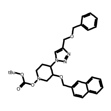 CC(C)(C)OC(=O)ON1CCC(n2cc(COCc3ccccc3)nn2)C(OCc2ccc3ccccc3c2)C1